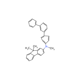 CN(c1ccc(-c2cccc(-c3ccccc3)c2)cc1)c1ccc2c(c1)C(C)(C)c1ccccc1-2